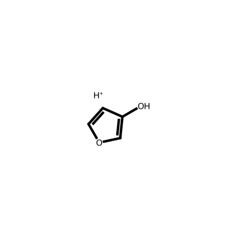 Oc1ccoc1.[H+]